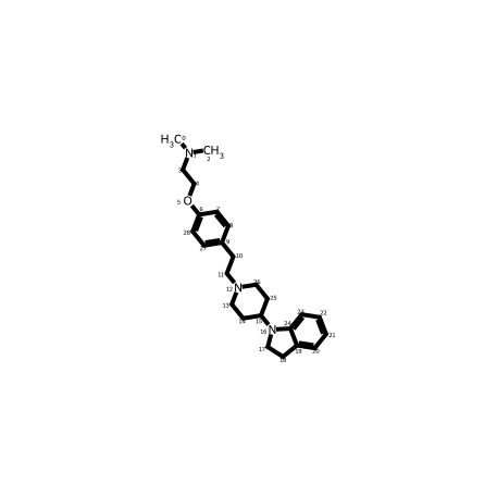 CN(C)CCOc1ccc(CCN2CCC(N3CCc4ccccc43)CC2)cc1